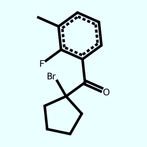 Cc1cccc(C(=O)C2(Br)CCCC2)c1F